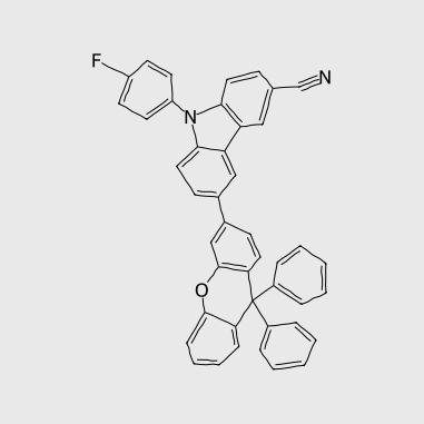 N#Cc1ccc2c(c1)c1cc(-c3ccc4c(c3)Oc3ccccc3C4(c3ccccc3)c3ccccc3)ccc1n2-c1ccc(F)cc1